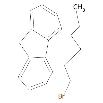 CCCCCCBr.c1ccc2c(c1)Cc1ccccc1-2